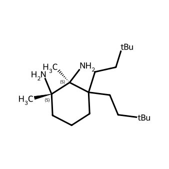 CC(C)(C)CCC1(CCC(C)(C)C)CCC[C@](C)(N)[C@@]1(C)N